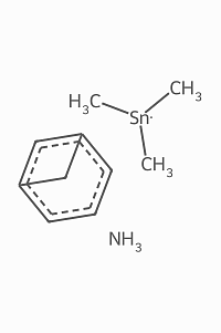 N.[CH3][Sn]([CH3])[CH3].c1cc2cc(c1)C2